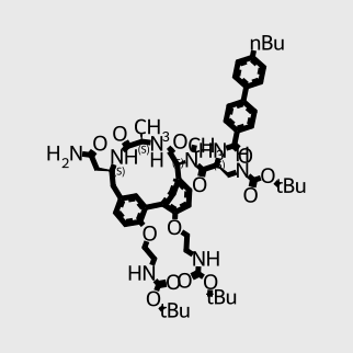 CCCCc1ccc(-c2ccc(C(=O)N[C@@H](CNC(=O)OC(C)(C)C)C(=O)N(C)[C@@H]3C(=O)N[C@@H](C)C(=O)N[C@H](CC(N)=O)Cc4ccc(OCCNC(=O)OC(C)(C)C)c(c4)-c4cc3ccc4OCCNC(=O)OC(C)(C)C)cc2)cc1